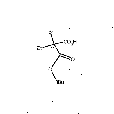 CCC(C)OC(=O)C(Br)(CC)C(=O)O